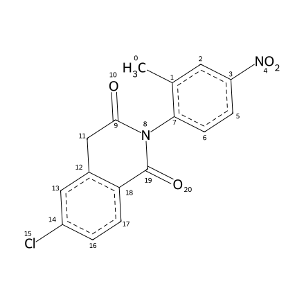 Cc1cc([N+](=O)[O-])ccc1N1C(=O)Cc2cc(Cl)ccc2C1=O